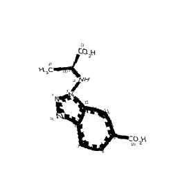 C[C@H](Nn1nnc2ccc(C(=O)O)cc21)C(=O)O